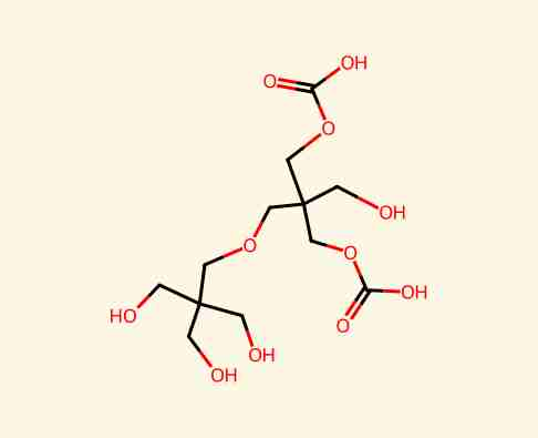 O=C(O)OCC(CO)(COCC(CO)(CO)CO)COC(=O)O